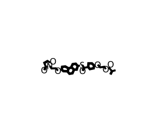 C=C(C)C(=O)OCCOc1ccc(C(=O)Sc2ccc3c(ccc4cc(OCCN5C(=O)C=CC5=O)ccc43)c2)cc1